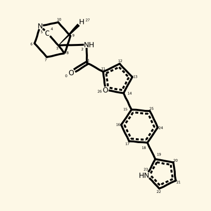 O=C(N[C@H]1CN2CCC1CC2)c1ccc(-c2ccc(-c3ccc[nH]3)cc2)o1